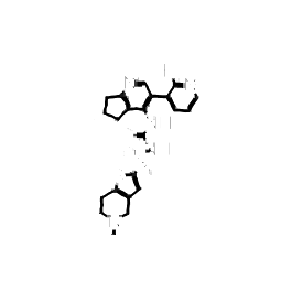 CN1CCc2sc(S(=O)(=O)NC(=O)Nc3c(-c4cccnc4F)cnc4c3CCC4)cc2C1